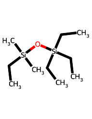 CC[Si](C)(C)O[Si](CC)(CC)CC